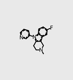 CN1CCc2c(c3cc(F)ccc3n2-c2cccnc2)C1